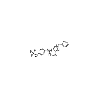 FC(F)(F)Oc1ccc(Nc2ncnc3nn(Cc4ccccc4)cc23)cc1